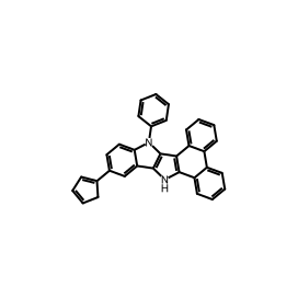 C1=CCC(c2ccc3c(c2)c2[nH]c4c5ccccc5c5ccccc5c4c2n3-c2ccccc2)=C1